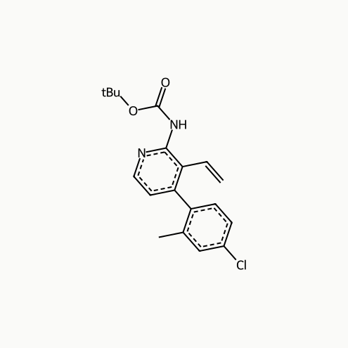 C=Cc1c(-c2ccc(Cl)cc2C)ccnc1NC(=O)OC(C)(C)C